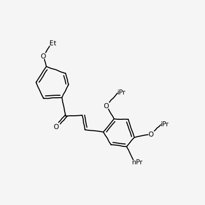 CCCc1cc(C=CC(=O)c2ccc(OCC)cc2)c(OC(C)C)cc1OC(C)C